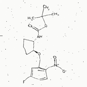 CC(C)(C)OC(=O)N[C@H]1CCC[C@@H]1Oc1cc(F)ccc1[N+](=O)[O-]